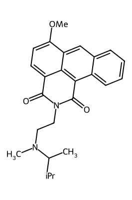 COc1ccc2c3c(c4ccccc4cc13)C(=O)N(CCN(C)C(C)C(C)C)C2=O